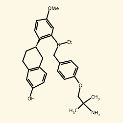 CCN(Cc1ccc(OCC(C)(C)N)cc1)c1cc(OC)ccc1[C@@H]1CCc2cc(O)ccc2C1